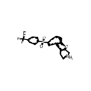 O=S(=O)(c1ccc(C(F)(F)F)cc1)c1ccc2oc3c(c2c1)CCNC3